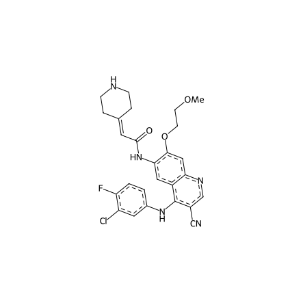 COCCOc1cc2ncc(C#N)c(Nc3ccc(F)c(Cl)c3)c2cc1NC(=O)C=C1CCNCC1